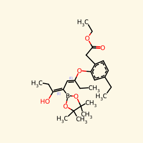 CCOC(=O)Cc1ccc(CC)cc1O/C(=C/C(B1OC(C)(C)C(C)(C)O1)=C(/O)CC)CC